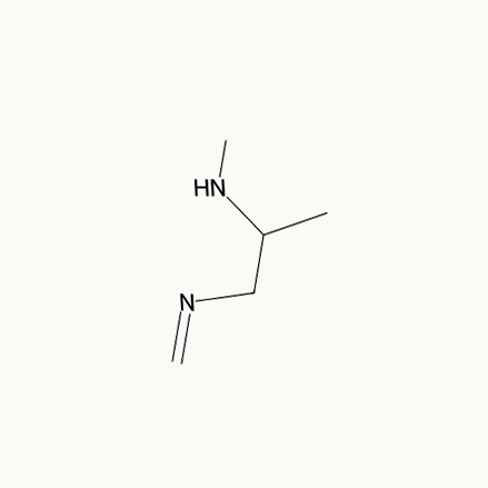 C=NCC(C)NC